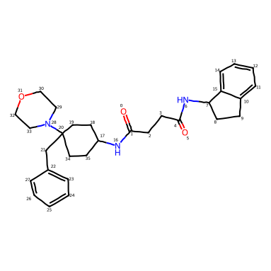 O=C(CCC(=O)NC1CCc2ccccc21)NC1CCC(Cc2ccccc2)(N2CCOCC2)CC1